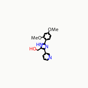 COc1ccc(-c2nc(-c3cccnc3)c(CO)[nH]2)c(OC)c1